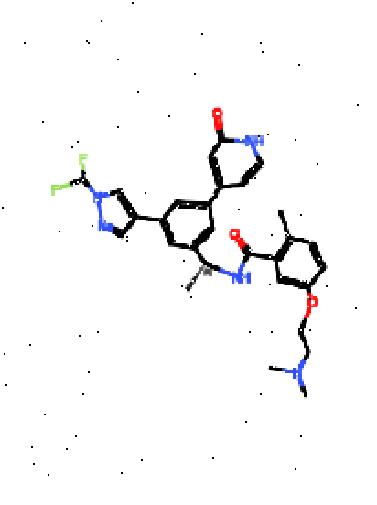 Cc1ccc(OCCN(C)C)cc1C(=O)N[C@H](C)c1cc(-c2cc[nH]c(=O)c2)cc(-c2cnn(C(F)F)c2)c1